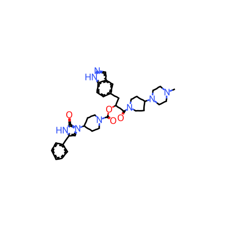 CN1CCN(C2CCN(C(=O)C(Cc3ccc4[nH]ncc4c3)OC(=O)N3CCC(n4cc(-c5ccccc5)[nH]c4=O)CC3)CC2)CC1